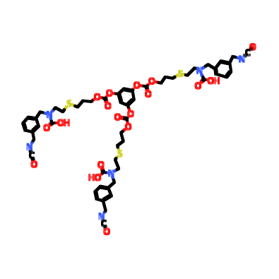 O=C=NCc1cccc(CN(CCSCCCOC(=O)Oc2cc(OC(=O)OCCCSCCN(Cc3cccc(CN=C=O)c3)C(=O)O)cc(OC(=O)OCCCSCCN(Cc3cccc(CN=C=O)c3)C(=O)O)c2)C(=O)O)c1